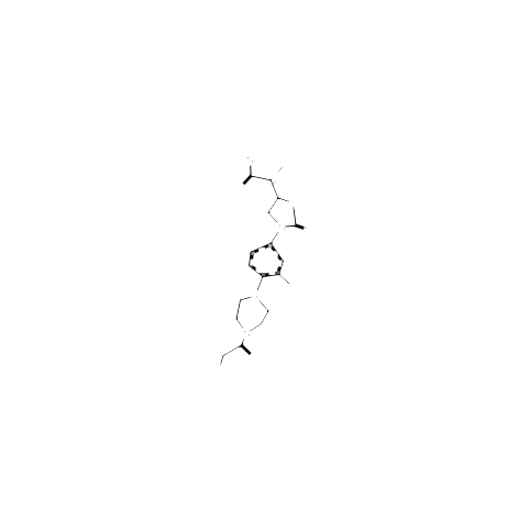 C[C@H](C(=O)N=O)C1CN(c2ccc(N3CCN(C(=O)CO)CC3)c(F)c2)C(=O)O1